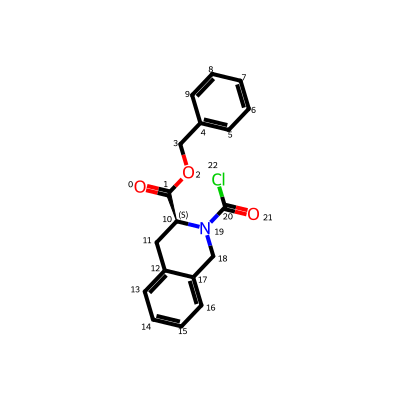 O=C(OCc1ccccc1)[C@@H]1Cc2ccccc2CN1C(=O)Cl